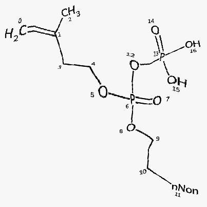 C=C(C)CCOP(=O)(OCCCCCCCCCCC)OP(=O)(O)O